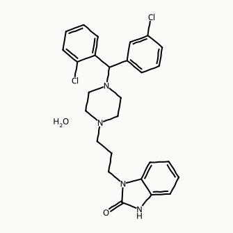 O.O=c1[nH]c2ccccc2n1CCCN1CCN(C(c2cccc(Cl)c2)c2ccccc2Cl)CC1